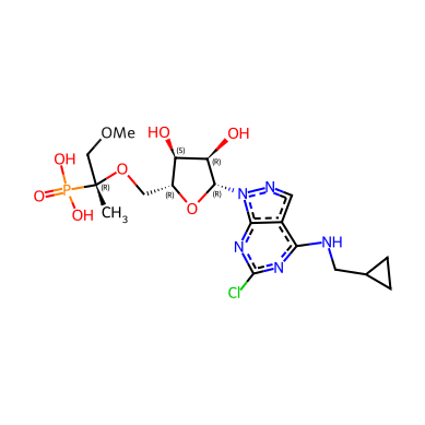 COC[C@](C)(OC[C@H]1O[C@@H](n2ncc3c(NCC4CC4)nc(Cl)nc32)[C@H](O)[C@@H]1O)P(=O)(O)O